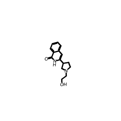 O=c1[nH]c(C2CCN(CCO)C2)cc2ccccc12